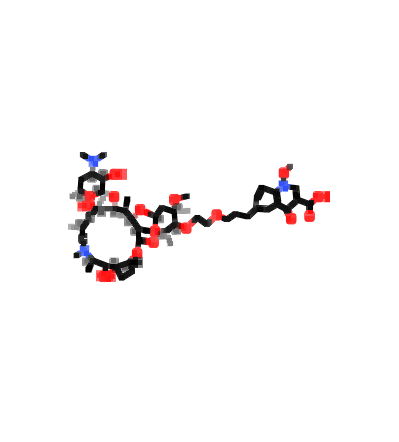 COn1cc(C(=O)O)c(=O)c2cc(CCCOCCO[C@H]3[C@H](C)O[C@@H](O[C@H]4[C@H](C)[C@@H](O[C@@H]5O[C@H](C)C[C@H](N(C)C)[C@H]5O)[C@](C)(O)C[C@@H](C)CN(C)[C@H](C)C(O)[C@@]5(O)CC[C@H]5OC(=O)[C@@H]4C)C[C@@]3(C)OC)ccc21